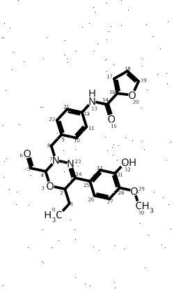 CCC1OC(C=O)N(Cc2ccc(NC(=O)c3ccco3)cc2)N=C1c1ccc(OC)c(O)c1